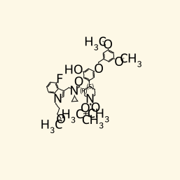 COCCCn1cc(CN(C(=O)[C@H]2CN(C(=O)OC(C)(C)C)CC[C@@H]2c2cc(O)cc(OCc3cc(OC)cc(OC)c3)c2)C2CC2)c2c(F)cccc21